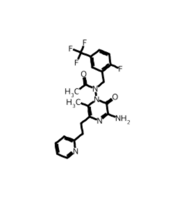 CC(=O)N(Cc1cc(C(F)(F)F)ccc1F)n1c(C)c(CCc2ccccn2)nc(N)c1=O